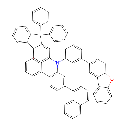 c1ccc(-c2ccc(-c3cccc4ccccc34)cc2N(c2cccc(-c3ccc4oc5ccccc5c4c3)c2)c2ccc3c(c2)C(c2ccccc2)(c2ccccc2)c2ccccc2-3)cc1